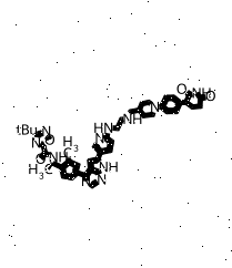 Cc1cc(-c2ncnc3[nH]c(-c4ccc(NCCNCC5CCN(c6ccc(C7CCC(=O)NC7=O)cc6)CC5)nc4)cc23)ccc1[C@@H](C)NC(=O)c1nc(C(C)(C)C)no1